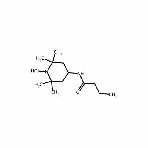 CCCC(=O)NC1CC(C)(C)N(O)C(C)(C)C1